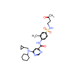 CC(=O)CCNS(=O)(=O)c1ccc(NC(=O)c2cc(N(CC3CC3)C3CCCCC3)ncn2)c(C)c1